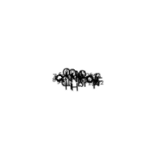 O=C(NC(=O)c1ccccc1Cl)Nc1noc(-c2ccc(C(F)(F)F)cc2)c1Br